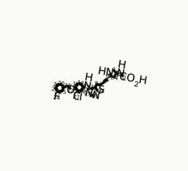 O=C(O)N[C@H]1CN[C@@H](C#Cc2cc3c(Nc4ccc(OCc5cccc(F)c5)c(Cl)c4)ncnc3s2)C1